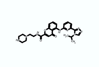 CC(C)n1cnnc1-c1cccc(Nc2cccc3oc(C(=O)NCCN4CCNCC4)cc(=O)c23)n1